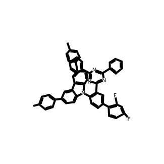 Cc1ccc(-c2ccc3c(c2)c2cc(-c4ccc(C)cc4)ccc2n3-c2ccc(-c3ccc(F)cc3F)cc2-c2nc(-c3ccccc3)nc(-c3ccccc3)n2)cc1